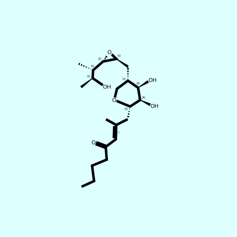 CCCCC(=O)/C=C(\C)C[C@@H]1OC[C@H](C[C@@H]2O[C@H]2[C@@H](C)[C@H](C)O)[C@@H](O)[C@H]1O